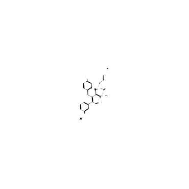 Cn1c(=O)n(CCCOC=O)c(=O)c2c(Cc3ccc(Cl)cc3)c(-c3cccc(OC(F)(F)F)c3)cnc21